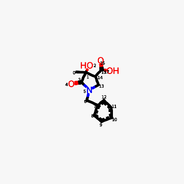 CC1(O)C(=O)N(Cc2ccccc2)CC1C(=O)O